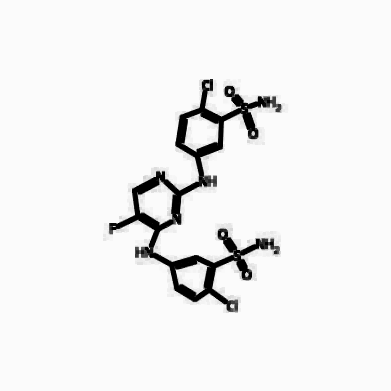 NS(=O)(=O)c1cc(Nc2ncc(F)c(Nc3ccc(Cl)c(S(N)(=O)=O)c3)n2)ccc1Cl